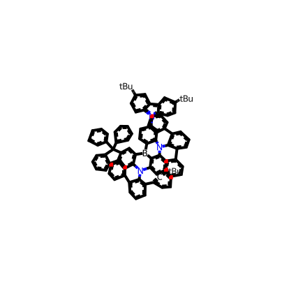 CC(C)(C)c1cc2c3c(c1)N(c1c(-c4ccccc4)cccc1-c1ccccc1)c1cc4c(cc1B3c1ccc(-n3c5ccc(C(C)(C)C)cc5c5cc(C(C)(C)C)ccc53)cc1N2c1c(-c2ccccc2)cccc1-c1ccccc1)C(c1ccccc1)(c1ccccc1)c1ccccc1-4